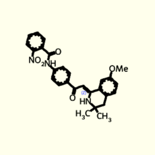 COc1ccc2c(c1)/C(=C/C(=O)c1ccc(NC(=O)c3ccccc3[N+](=O)[O-])cc1)NC(C)(C)C2